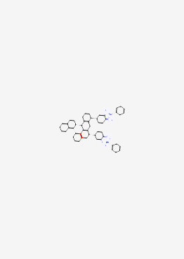 Cn1c(-c2ccccc2)nc2ccc(-c3cccc4c(-c5ccc6ccccc6c5-c5ccccc5)c5cccc(-c6ccc7nc(-c8ccccc8)n(C)c7c6)c5cc34)cc21